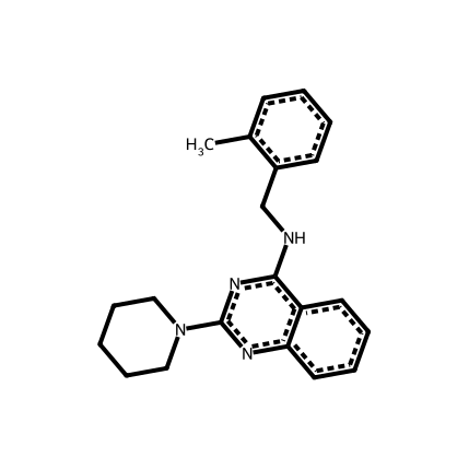 Cc1ccccc1CNc1nc(N2CCCCC2)nc2ccccc12